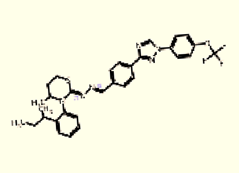 CCC(C)c1ccccc1N1/C(=N/N=C/c2ccc(-c3ncn(-c4ccc(OC(F)(F)F)cc4)n3)cc2)SCCC1C